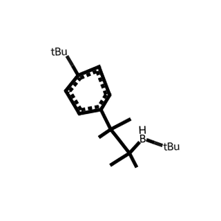 CC(C)(C)BC(C)(C)C(C)(C)c1ccc(C(C)(C)C)cc1